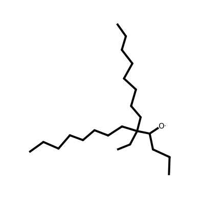 CCCCCCCCC(CC)(CCCCCCCC)C([O])CCC